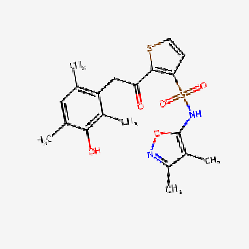 Cc1cc(C)c(CC(=O)c2sccc2S(=O)(=O)Nc2onc(C)c2C)c(C)c1O